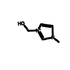 Cn1cc[n+](CO)c1